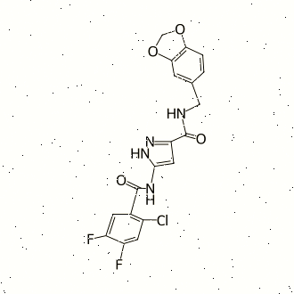 O=C(NCc1ccc2c(c1)OCO2)c1cc(NC(=O)c2cc(F)c(F)cc2Cl)[nH]n1